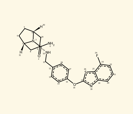 NC(=O)N1[C@@H]2CC[C@H]1C[C@@H](NCc1ccc(Oc3nc4cccc(F)c4s3)cc1)C2